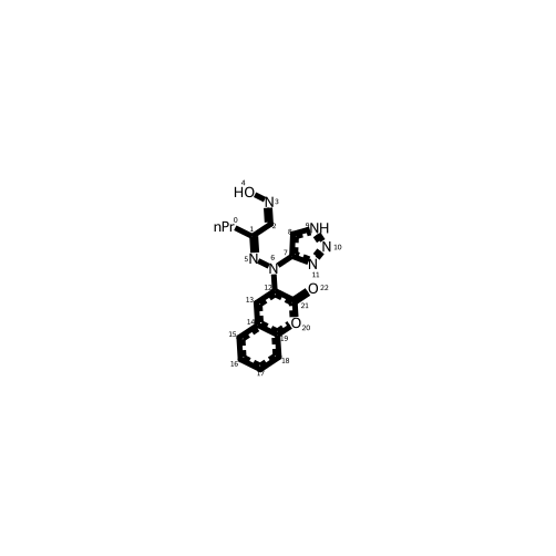 CCCC(/C=N\O)=N/N(c1c[nH]nn1)c1cc2ccccc2oc1=O